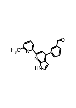 Cc1cccc(-c2cc(-c3cccc(C=O)c3)c3cc[nH]c3n2)n1